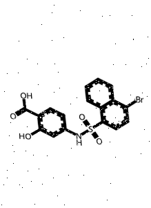 O=C(O)c1ccc(NS(=O)(=O)c2ccc(Br)c3ccccc23)cc1O